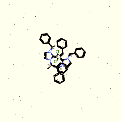 C[C@H](c1ccccc1)n1ccn([C@H](C)c2ccccc2)[c]1=[Ru]([Cl])([Cl])(=[CH]c1ccccc1)=[c]1n([C@H](C)c2ccccc2)ccn1[C@H](C)c1ccccc1